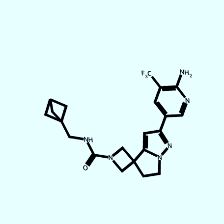 Nc1ncc(-c2cc3n(n2)CCC32CN(C(=O)NCC34CC(C3)C4)C2)cc1C(F)(F)F